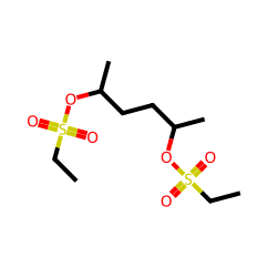 CCS(=O)(=O)OC(C)CCC(C)OS(=O)(=O)CC